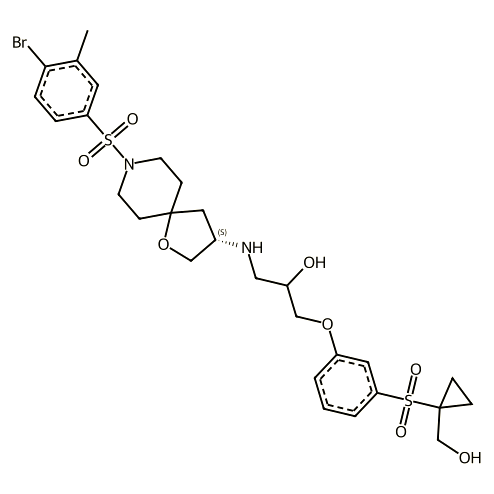 Cc1cc(S(=O)(=O)N2CCC3(CC2)C[C@H](NCC(O)COc2cccc(S(=O)(=O)C4(CO)CC4)c2)CO3)ccc1Br